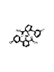 O=C(O)c1cccc(-c2cccc(Cl)c2)c1N=Nc1c(C(=O)O)cccc1-c1cccc(Cl)c1